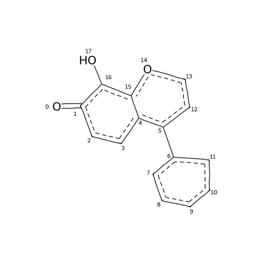 O=c1ccc2c(-c3ccccc3)ccoc-2c1O